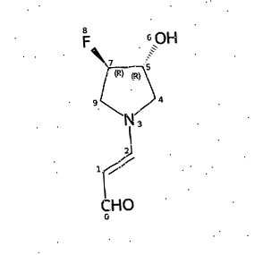 O=CC=CN1C[C@@H](O)[C@H](F)C1